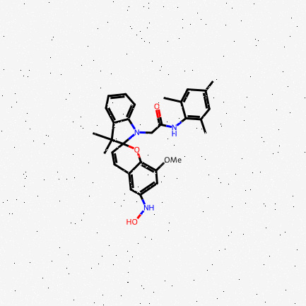 COc1cc(NO)cc2c1OC1(C=C2)N(CC(=O)Nc2c(C)cc(C)cc2C)c2ccccc2C1(C)C